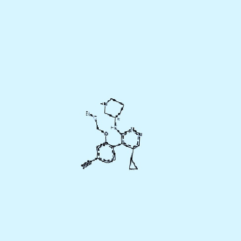 C#Cc1ccc(-c2c(C3CC3)cnnc2N[C@@H]2CCCNC2)c(OCOCC)c1